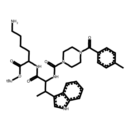 Cc1ccc(C(=O)N2CCN(C(=O)NC(C(=O)NC(CCCCN)C(=O)OC(C)(C)C)C(C)c3c[nH]c4ccccc34)CC2)cc1